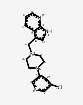 Clc1cncc(N2CCN(Cc3c[nH]c4ncccc34)CC2)c1